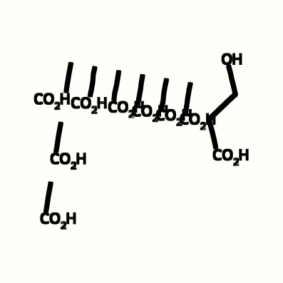 CC(=O)O.CC(=O)O.CC(=O)O.CC(=O)O.CC(=O)O.CC(=O)O.CC(=O)O.CC(=O)O.O=C(O)CCO